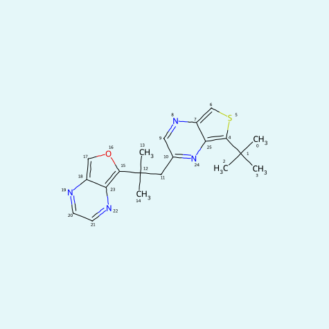 CC(C)(C)c1scc2ncc(CC(C)(C)c3occ4nccnc34)nc12